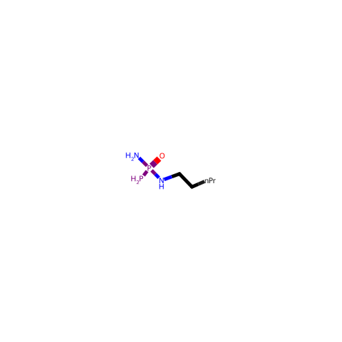 CCCCCNP(N)(=O)P